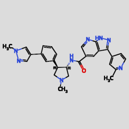 Cc1cc(-c2n[nH]c3ncc(C(=O)N[C@@H]4CN(C)C[C@H]4c4cccc(-c5cnn(C)c5)c4)cc23)ccn1